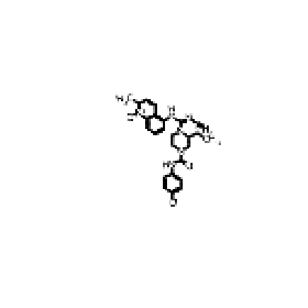 Cc1ccc2c(N/C(=N/C#N)N3CCN(C(=O)Nc4ccc(Cl)cc4)CC3C(C)C)cccc2[n+]1[O-]